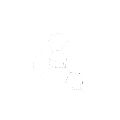 O=C(Cc1ccccc1C1(O)CCCCC1)c1ccccc1